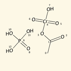 CC(=O)[O][Cr](=[O])(=[O])[OH].O=P(O)(O)O